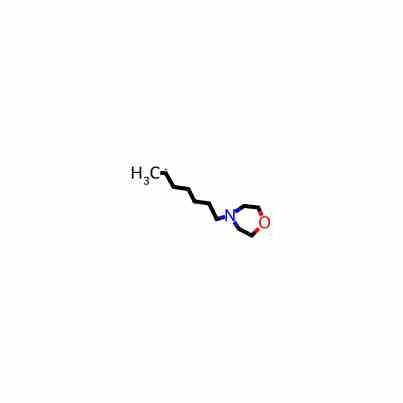 C[CH]CCCCCN1CCOCC1